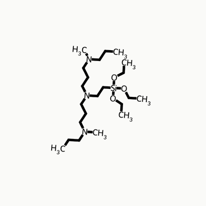 CCCN(C)CCCN(CCCN(C)CCC)CC[Si](OCC)(OCC)OCC